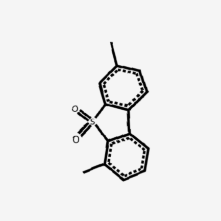 Cc1ccc2c(c1)S(=O)(=O)c1c(C)cccc1-2